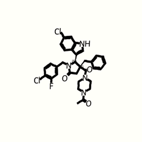 CC(=O)N1CCN(C(=O)[C@]2(Cc3ccccc3)CC(=O)N(Cc3ccc(Cl)c(F)c3)[C@H]2c2c[nH]c3cc(Cl)ccc23)CC1